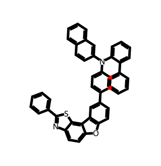 c1ccc(-c2nc3ccc4oc5ccc(-c6ccc(N(c7ccc8ccccc8c7)c7ccccc7-c7ccccc7)cc6)cc5c4c3s2)cc1